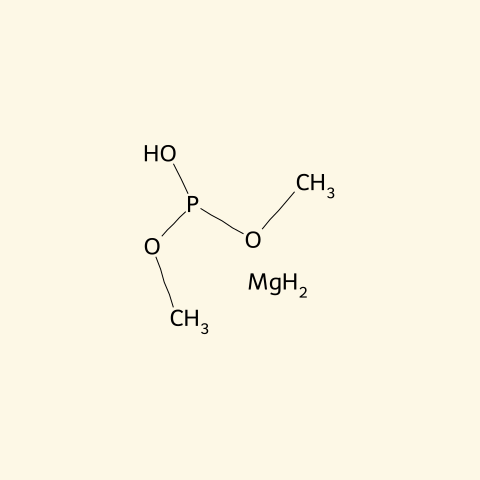 COP(O)OC.[MgH2]